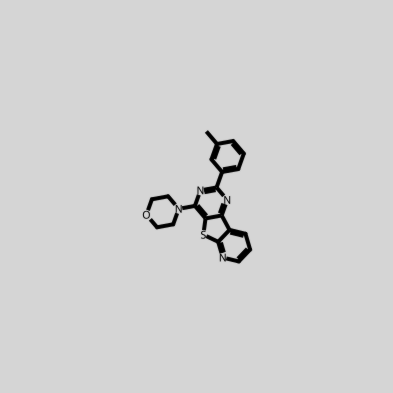 Cc1cccc(-c2nc(N3CCOCC3)c3sc4ncccc4c3n2)c1